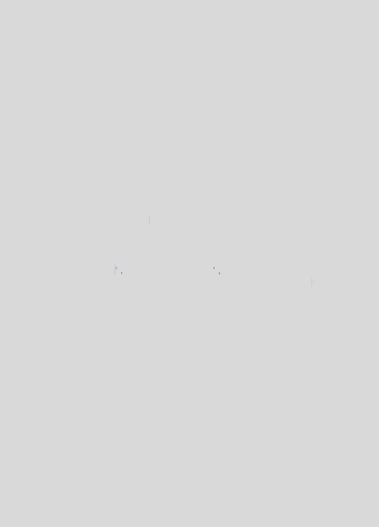 Cc1cccc2c3ccccc3n(-c3ccc4c(c3)c3cccc5c6cc(F)ccc6n4c53)c12